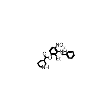 CCc1c(OC(=O)C2CCCNC2)ccc([N+](=O)[O-])c1NCc1ccccc1